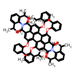 CC(C)c1ccccc1Oc1cc2c3c(cc(Oc4ccccc4C(C)C)c4c5c(Oc6ccccc6C(C)C)cc6c7c(cc(Oc8ccccc8C(C)C)c(c1c34)c75)C(=O)N(c1c(C(C)C)cccc1C(C)C)C6=O)C(=O)N(c1c(C(C)C)cccc1C(C)C)C2=O